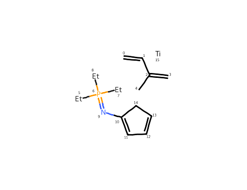 C=CC(=C)C.CCP(CC)(CC)=NC1=CC=CC1.[Ti]